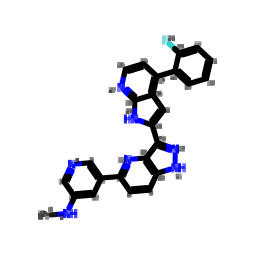 CC(C)Nc1cncc(-c2ccc3[nH]nc(-c4cc5c(-c6ccccc6F)ccnc5[nH]4)c3n2)c1